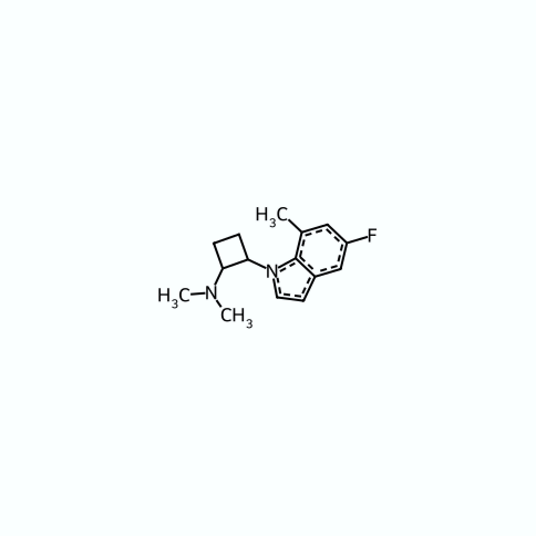 Cc1cc(F)cc2ccn(C3CCC3N(C)C)c12